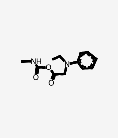 CCN(CC(=O)OC(=O)NC)c1ccccc1